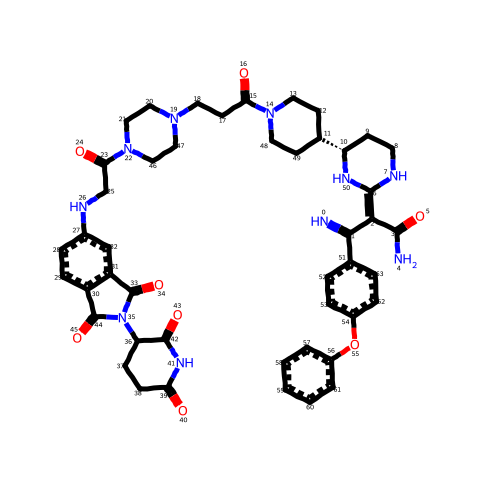 N=C(/C(C(N)=O)=C1/NCC[C@@H](C2CCN(C(=O)CCN3CCN(C(=O)CNc4ccc5c(c4)C(=O)N(C4CCC(=O)NC4=O)C5=O)CC3)CC2)N1)c1ccc(Oc2ccccc2)cc1